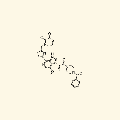 COc1cnc(-n2ccc(CN3CCSC(=O)C3=O)n2)c2[nH]cc(C(=O)C(=O)N3CCN(C(=O)c4ccccc4)CC3)c12